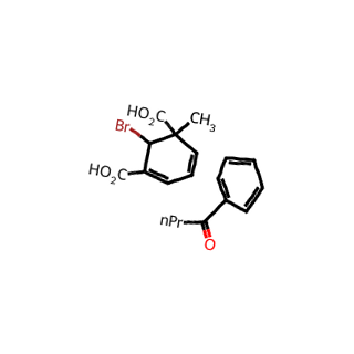 CC1(C(=O)O)C=CC=C(C(=O)O)C1Br.CCCC(=O)c1ccccc1